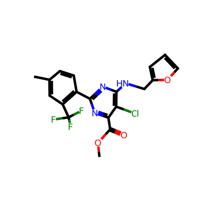 COC(=O)c1nc(-c2ccc(C)cc2C(F)(F)F)nc(NCc2ccco2)c1Cl